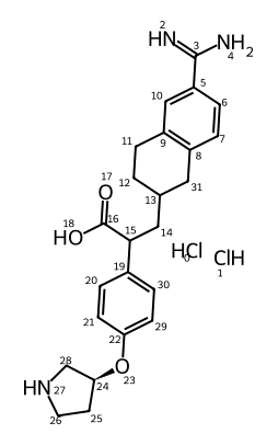 Cl.Cl.N=C(N)c1ccc2c(c1)CCC(CC(C(=O)O)c1ccc(O[C@H]3CCNC3)cc1)C2